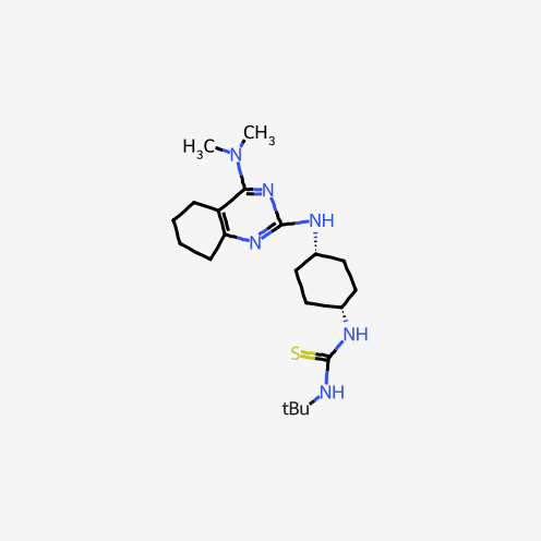 CN(C)c1nc(N[C@H]2CC[C@@H](NC(=S)NC(C)(C)C)CC2)nc2c1CCCC2